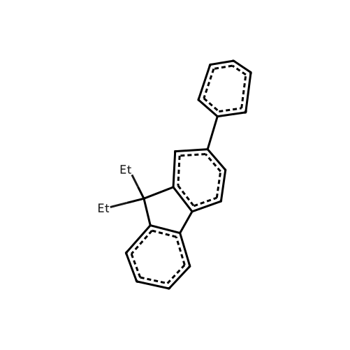 CCC1(CC)c2ccccc2-c2ccc(-c3ccccc3)cc21